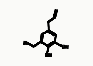 C=CCc1cc(O)c(O)c(CC(C)C)c1